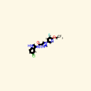 O=C(Nc1c[nH]c2ccc(Cl)cc12)c1cn(-c2cnc(OCC(F)(F)F)c(F)c2)nn1